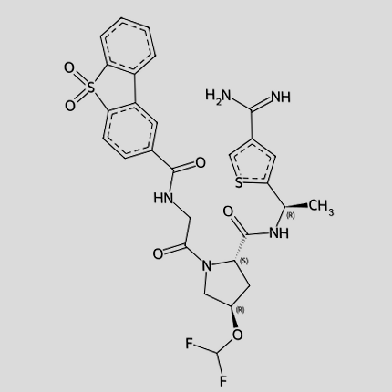 C[C@@H](NC(=O)[C@@H]1C[C@@H](OC(F)F)CN1C(=O)CNC(=O)c1ccc2c(c1)-c1ccccc1S2(=O)=O)c1cc(C(=N)N)cs1